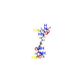 CC(=O)NC(CCS)C(=O)NCCCCCCNC(=O)C(CCS)NC(C)=O